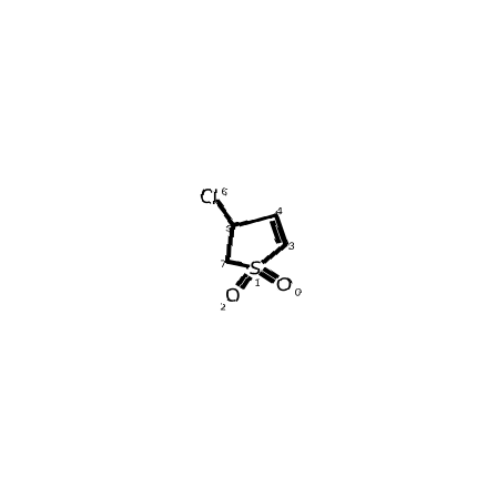 O=S1(=O)C=CC(Cl)C1